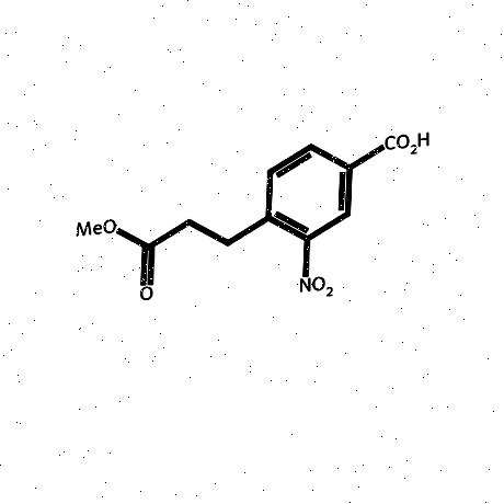 COC(=O)CCc1ccc(C(=O)O)cc1[N+](=O)[O-]